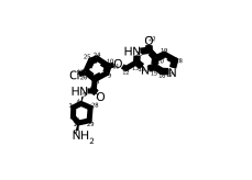 N[C@H]1CC[C@H](NC(=O)c2cc(OCc3nc4cnccc4c(=O)[nH]3)ccc2Cl)CC1